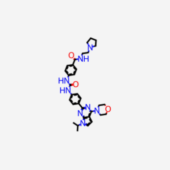 CC(C)n1ccc2c(N3CCOCC3)nc(-c3ccc(NC(=O)Nc4ccc(C(=O)NCCN5CCCC5)cc4)cc3)nc21